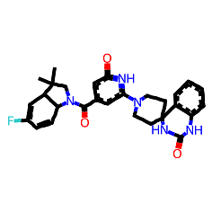 CC1(C)CN(C(=O)c2cc(N3CCC4(CC3)NC(=O)Nc3ccccc34)[nH]c(=O)c2)C2C=CC(F)=CC21